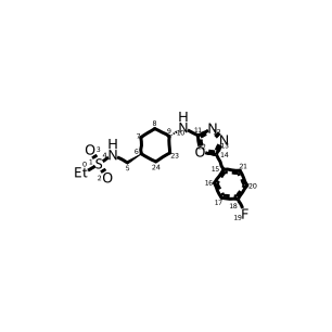 CCS(=O)(=O)NC[C@H]1CC[C@H](Nc2nnc(-c3ccc(F)cc3)o2)CC1